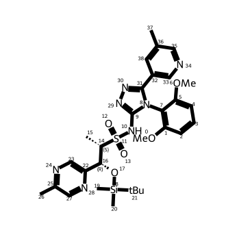 COc1cccc(OC)c1-n1c(NS(=O)(=O)[C@@H](C)[C@H](O[Si](C)(C)C(C)(C)C)c2cnc(C)cn2)nnc1-c1cncc(C)c1